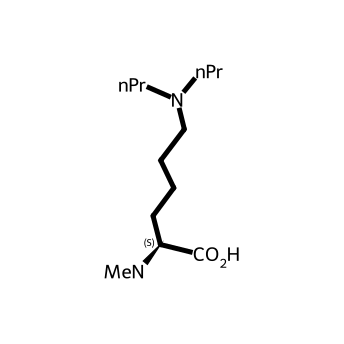 CCCN(CCC)CCCC[C@H](NC)C(=O)O